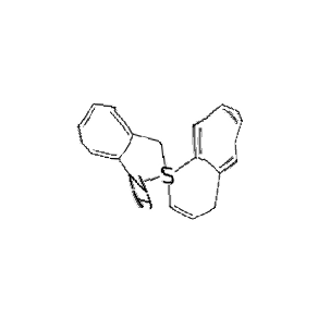 C1=CS2(Cc3ccccc3N2)c2ccccc2C1